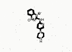 [O-][n+]1nc(Nc2ccc(N3CCNCC3)cn2)[n+]([O-])c2ccccc21